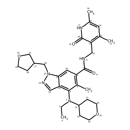 CCN(c1c(C)c(C(=O)NCc2c(C)cc(C)[nH]c2=O)cc2c1cnn2CC1CCOC1)C1CCOCC1